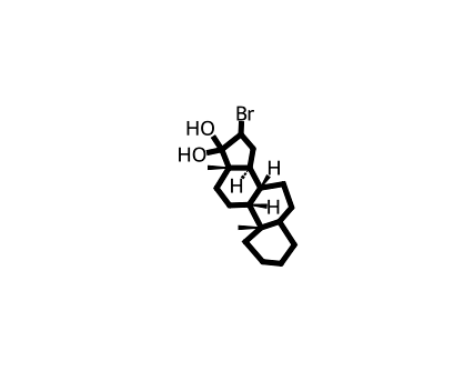 C[C@]12CCCCC1CC[C@@H]1[C@H]2CC[C@@]2(C)[C@H]1CC(Br)C2(O)O